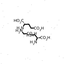 NCC(=O)O.N[C@@H](CCC(=O)O)C(=O)O.N[C@@H](CS)C(=O)O